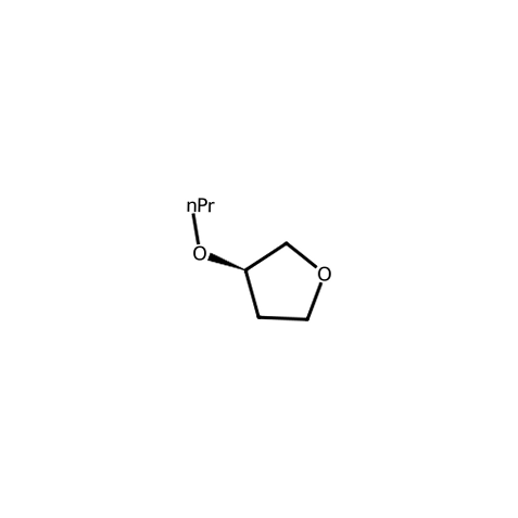 CCCO[C@@H]1CCOC1